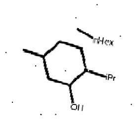 CC1CCC(C(C)C)C(O)C1.CCCCCCC